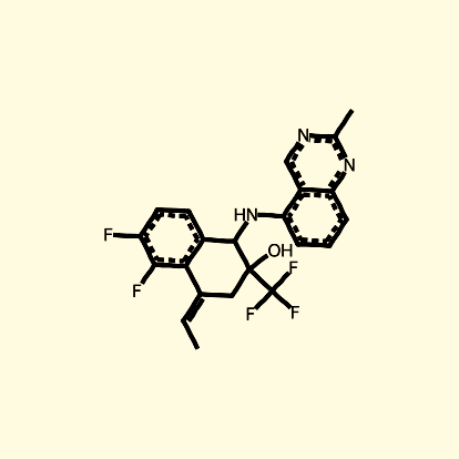 CC=C1CC(O)(C(F)(F)F)C(Nc2cccc3nc(C)ncc23)c2ccc(F)c(F)c21